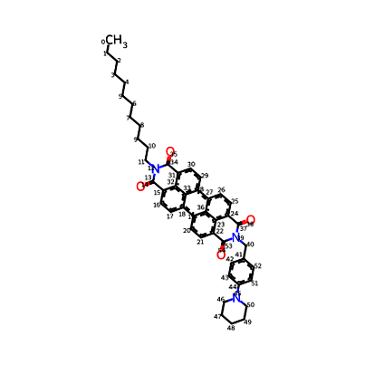 CCCCCCCCCCCCN1C(=O)c2ccc3c4ccc5c6c(ccc(c7ccc(c2c37)C1=O)c64)C(=O)N(Cc1ccc(N2CCCCC2)cc1)C5=O